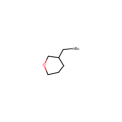 CCCCCC1[CH]CCOC1